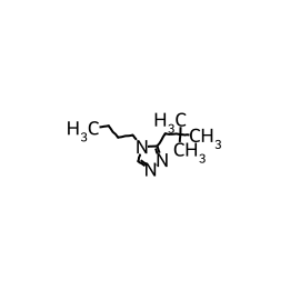 CCCCn1cnnc1CC(C)(C)C